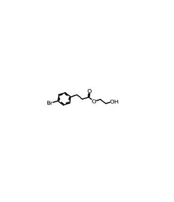 O=C(CCc1ccc(Br)cc1)OCCO